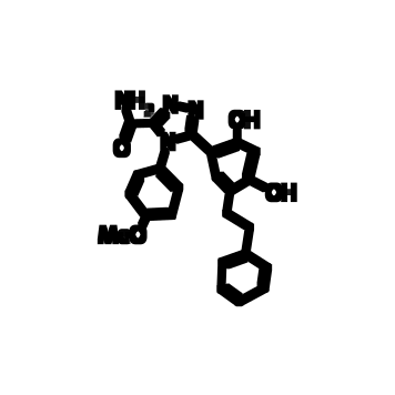 COc1ccc(-n2c(C(N)=O)nnc2-c2cc(CCc3ccccc3)c(O)cc2O)cc1